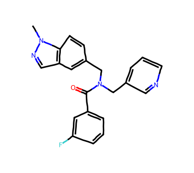 Cn1ncc2cc(CN(Cc3cccnc3)C(=O)c3cccc(F)c3)ccc21